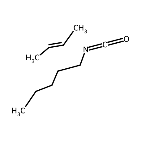 CC=CC.CCCCCN=C=O